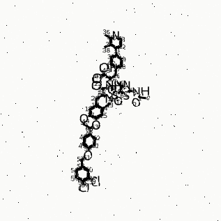 CC(=O)Nc1nc(C)c(S(=O)(=O)N2Cc3cc4c(cc3C[C@H]2C(=O)NC(Cc2ccc(-c3ccnc(C)c3C)cc2)C(=O)O)OC[C@H](c2ccc(OCc3ccc(Cl)c(Cl)c3)cc2)O4)s1